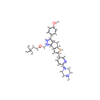 COc1ccc(-c2nn(COCC[Si](C)(C)C)c3c2Cc2sc(-c4ccc(N5CCN(C)CC5)nc4)cc2-3)cc1